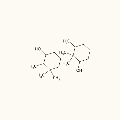 CC1C(O)CCCC1(C)C.CC1CCCC(O)C1(C)C